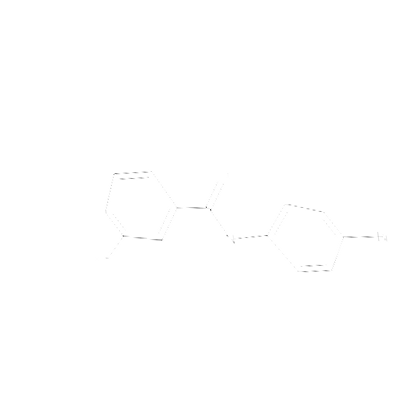 O=C(Nc1ccc(Br)cc1)c1[c]ccc(Cl)c1